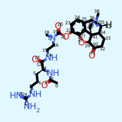 CC(=O)N[C@@H](CCCNC(=N)N)C(=O)NCCN(C)C(=O)Oc1ccc2c3c1OC1C(=O)CCC4[C@@H](C2)N(C)CC[C@]314